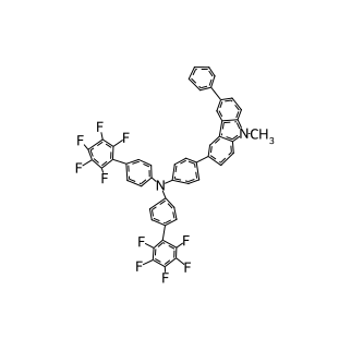 Cn1c2ccc(-c3ccccc3)cc2c2cc(-c3ccc(N(c4ccc(-c5c(F)c(F)c(F)c(F)c5F)cc4)c4ccc(-c5c(F)c(F)c(F)c(F)c5F)cc4)cc3)ccc21